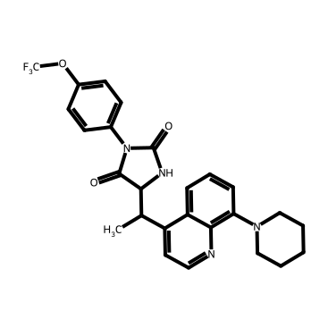 CC(c1ccnc2c(N3CCCCC3)cccc12)C1NC(=O)N(c2ccc(OC(F)(F)F)cc2)C1=O